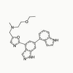 CCOCCN(C)Cc1cnc(-c2cc(-c3cccc4[nH]ccc34)cc3[nH]ncc23)o1